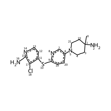 CC1(N)CCN(c2[c]nc(Sc3ccnc(N)c3Cl)cc2)CC1